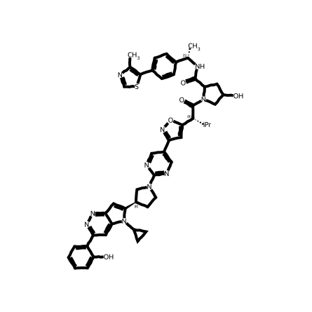 Cc1ncsc1-c1ccc([C@H](C)NC(=O)C2CC(O)CN2C(=O)[C@@H](c2cc(-c3cnc(N4CC[C@@H](c5cc6nnc(-c7ccccc7O)cc6n5C5CC5)C4)nc3)no2)C(C)C)cc1